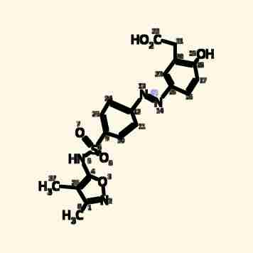 Cc1noc(NS(=O)(=O)c2ccc(/N=N/c3ccc(O)c(CC(=O)O)c3)cc2)c1C